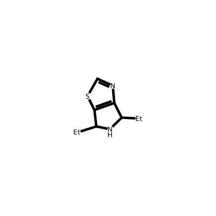 CCC1NC(CC)c2scnc21